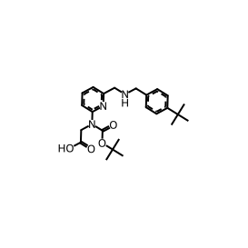 CC(C)(C)OC(=O)N(CC(=O)O)c1cccc(CNCc2ccc(C(C)(C)C)cc2)n1